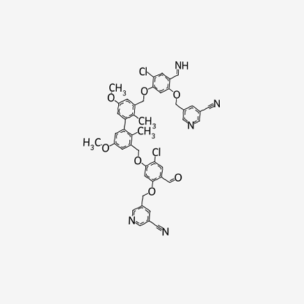 COc1cc(COc2cc(OCc3cncc(C#N)c3)c(C=N)cc2Cl)c(C)c(-c2cc(OC)cc(COc3cc(OCc4cncc(C#N)c4)c(C=O)cc3Cl)c2C)c1